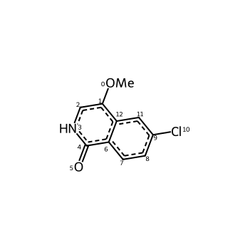 COc1c[nH]c(=O)c2ccc(Cl)cc12